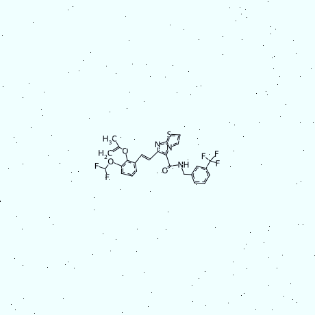 C=C(C)Oc1c(/C=C/c2nc3sccn3c2C(=O)NCc2cccc(C(F)(F)F)c2)cccc1OC(F)F